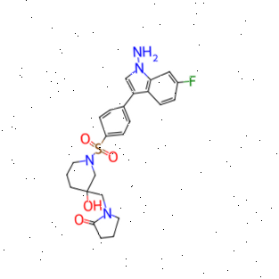 Nn1cc(-c2ccc(S(=O)(=O)N3CCCC(O)(CN4CCCC4=O)C3)cc2)c2ccc(F)cc21